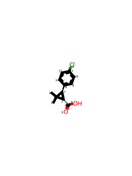 CC1(C)[C@@H](C(=O)O)[C@@H]1c1ccc(Cl)cc1